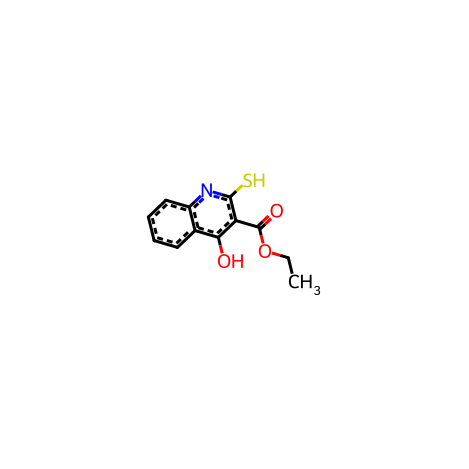 CCOC(=O)c1c(S)nc2ccccc2c1O